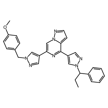 CCC(c1ccccc1)n1cc(-c2nc(-c3cnn(Cc4ccc(OC)cc4)c3)cn3nccc23)cn1